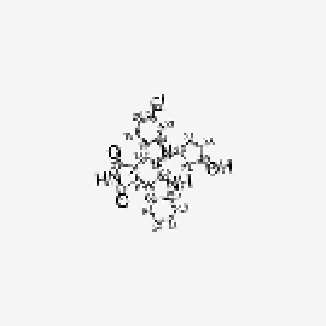 O=C1NC(=O)c2c1c1c3ccccc3[nH]c1c1c2c2ccc(Cl)cc2n1C1C=C[C@@H](O)C1